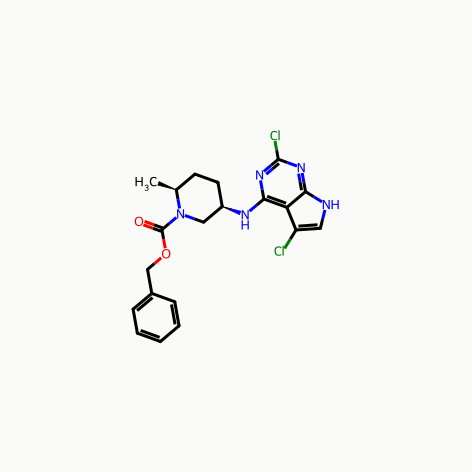 C[C@H]1CC[C@@H](Nc2nc(Cl)nc3[nH]cc(Cl)c23)CN1C(=O)OCc1ccccc1